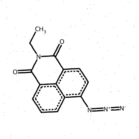 CCN1C(=O)c2cccc3c(N=[N+]=[N-])ccc(c23)C1=O